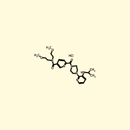 COCCN(CCOC)C(=O)c1ccc(C(=O)N2CCN(c3ncccc3NC(C)C)CC2)nc1.Cl